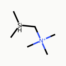 C[SiH](C)C[N+](C)(C)C